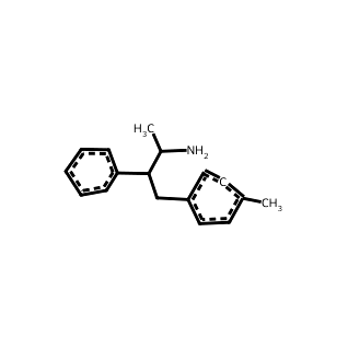 Cc1ccc(CC(c2ccccc2)C(C)N)cc1